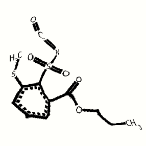 CCCOC(=O)c1cccc(SC)c1S(=O)(=O)N=C=O